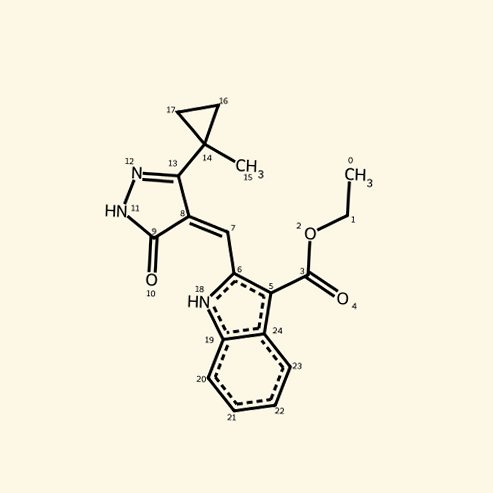 CCOC(=O)c1c(C=C2C(=O)NN=C2C2(C)CC2)[nH]c2ccccc12